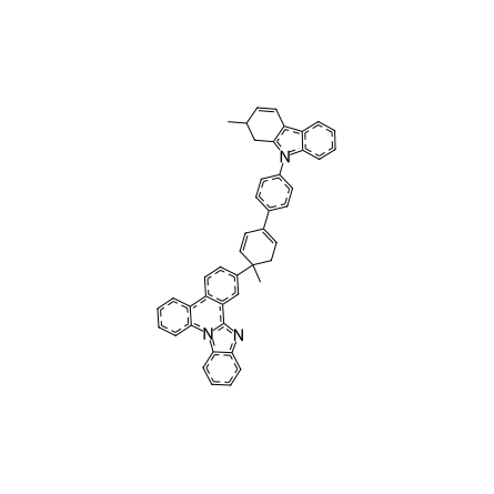 CC1C=Cc2c(n(-c3ccc(C4=CCC(C)(c5ccc6c7ccccc7n7c8ccccc8nc7c6c5)C=C4)cc3)c3ccccc23)C1